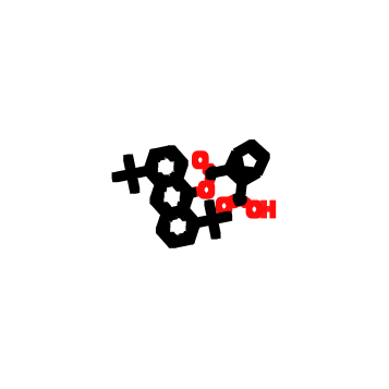 CC(C)(C)c1cccc2c(OC(=O)C3C4C=CC(C4)C3C(=O)O)c3c(C(C)(C)C)cccc3cc12